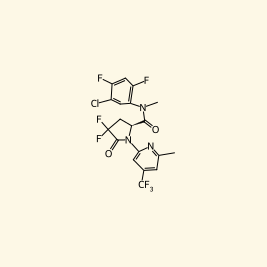 Cc1cc(C(F)(F)F)cc(N2C(=O)C(F)(F)C[C@H]2C(=O)N(C)c2cc(Cl)c(F)cc2F)n1